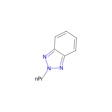 CCCn1nc2ccccc2n1